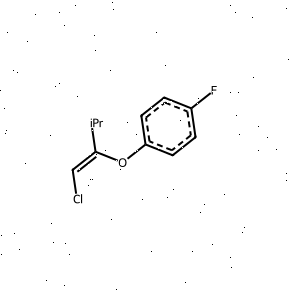 CC(C)/C(=C/Cl)Oc1ccc(F)cc1